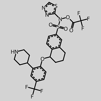 O=C(ON(c1nncs1)S(=O)(=O)c1ccc2c(c1)CCCC2Oc1ccc(C(F)(F)F)cc1C1CCNCC1)C(F)(F)F